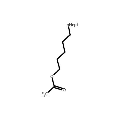 CCCCCCCCCCCCOC(=O)C(F)(F)F